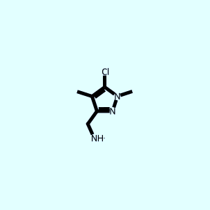 Cc1c(C[NH])nn(C)c1Cl